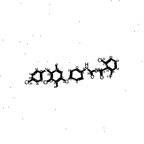 Cc1cc(Oc2ccc(NC(=O)NC(=O)c3c(F)cccc3Cl)cc2)c(C)c(Cl)c1Sc1ccc(Cl)cc1